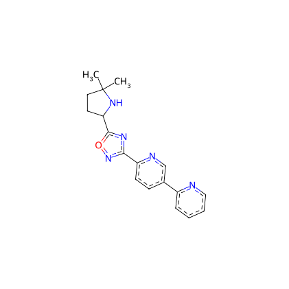 CC1(C)CCC(c2nc(-c3ccc(-c4ccccn4)cn3)no2)N1